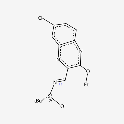 CCOc1nc2ccc(Cl)cc2nc1/C=N/[S@+]([O-])C(C)(C)C